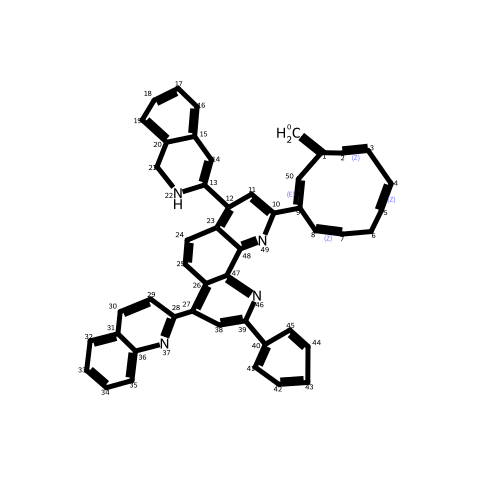 C=C1/C=C\C=C/C/C=C\C(c2cc(C3=Cc4ccccc4CN3)c3ccc4c(-c5ccc6ccccc6n5)cc(-c5ccccc5)nc4c3n2)=C/1